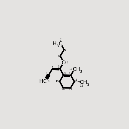 C#C/C=C(/OCCC)C1=C(C)[C@H](C)CCC1